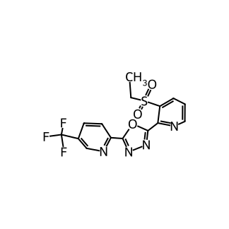 CCS(=O)(=O)c1cccnc1-c1nnc(-c2ccc(C(F)(F)F)cn2)o1